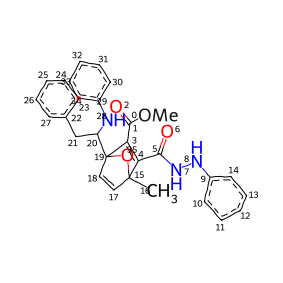 COC(=O)C1=C(C(=O)NNc2ccccc2)C2(C)C=CC1(C(Cc1ccccc1)Nc1ccccc1)O2